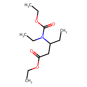 CCOC(=O)CC(CC)N(CC)C(=O)OCC